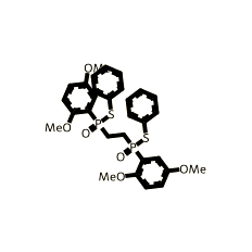 COc1ccc(OC)c(P(=O)(CCP(=O)(Sc2ccccc2)c2cc(OC)ccc2OC)Sc2ccccc2)c1